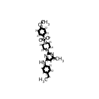 CCc1ccc(Nc2cc(C)nc(N3CCN(S(=O)(=O)c4ccc(OC)cc4)CC3)n2)cc1